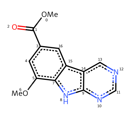 COC(=O)c1cc(OC)c2[nH]c3ncncc3c2c1